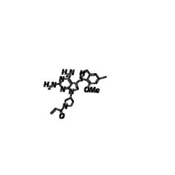 C=CC(=O)N1CCC(n2cc([SH]3C=Cc4cc(C)cc(OC)c43)c3c(N)nc(N)nc32)C1